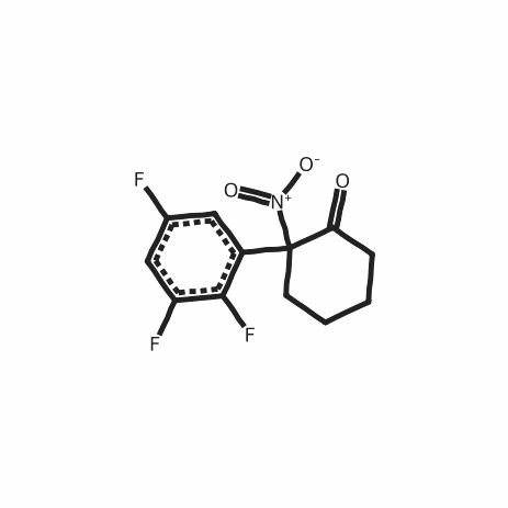 O=C1CCCCC1(c1cc(F)cc(F)c1F)[N+](=O)[O-]